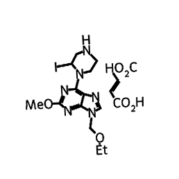 CCOCn1cnc2c(N3CCNCC3I)nc(OC)nc21.O=C(O)C=CC(=O)O